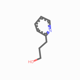 OCCCc1ccccn1